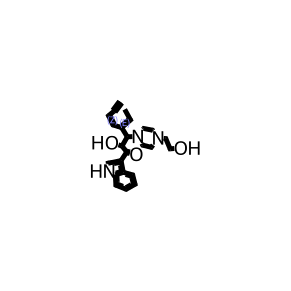 C#C/C=C\C(=C/C)C(C(O)C(=O)c1c[nH]c2ccccc12)N1CCN(CCO)CC1